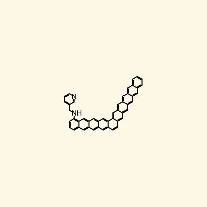 c1cncc(CNc2cccc3cc4cc5cc6ccc7cc8cc9cc%10cc%11ccccc%11cc%10cc9cc8cc7c6cc5cc4cc23)c1